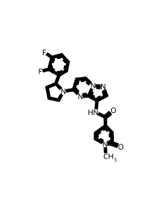 Cn1ccc(C(=O)Nc2cnn3ccc(N4CCCC4c4cccc(F)c4F)nc23)cc1=O